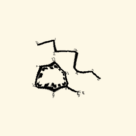 CCCCCCC.CCc1ccccc1